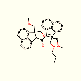 CCCOCC1(COC)c2cccc3cccc(c23)C1C(=O)C1c2cccc3cccc(c23)C1(COC)COCCC